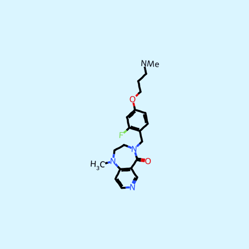 CNCCCOc1ccc(CN2CCN(C)c3ccncc3C2=O)c(F)c1